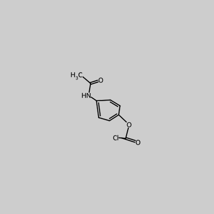 CC(=O)Nc1ccc(OC(=O)Cl)cc1